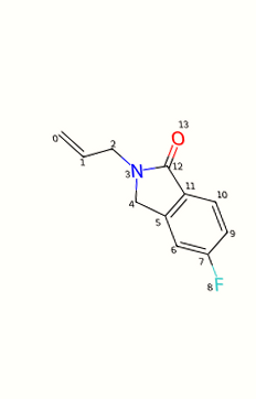 C=CCN1Cc2cc(F)ccc2C1=O